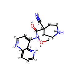 CON(C(=O)C1(C#N)CCNCC1)c1ccnc2cccnc12